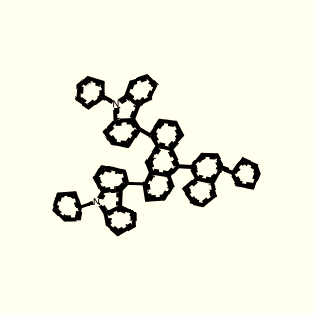 c1ccc(-c2ccc(-c3c4cccc(-c5cccc6c5c5ccccc5n6-c5ccccc5)c4cc4c(-c5cccc6c5c5ccccc5n6-c5ccccc5)cccc34)c3ccccc23)cc1